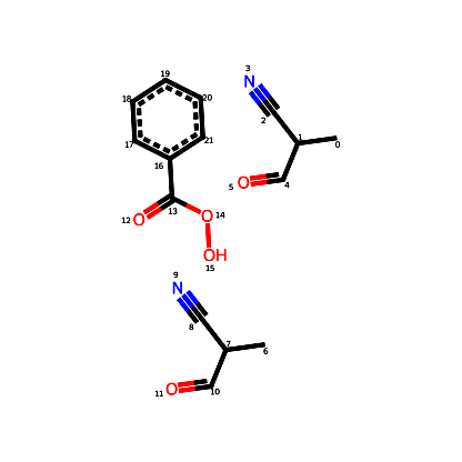 CC(C#N)C=O.CC(C#N)C=O.O=C(OO)c1ccccc1